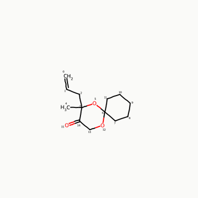 C=CCC1(C)OC2(CCCCC2)OCC1=O